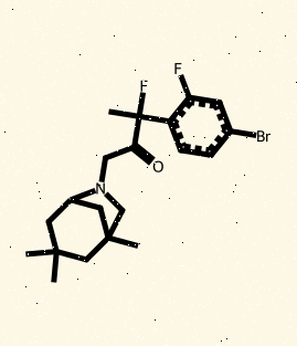 CC1(C)CC2CC(C)(CN2CC(=O)C(C)(F)c2ccc(Br)cc2F)C1